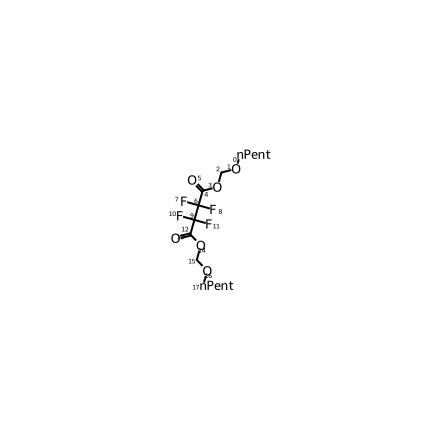 CCCCCOCOC(=O)C(F)(F)C(F)(F)C(=O)OCOCCCCC